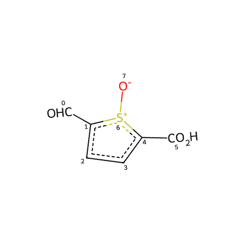 O=Cc1ccc(C(=O)O)[s+]1[O-]